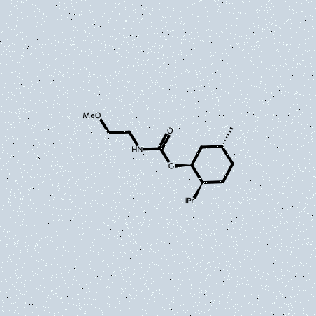 COCCNC(=O)O[C@H]1C[C@H](C)CC[C@H]1C(C)C